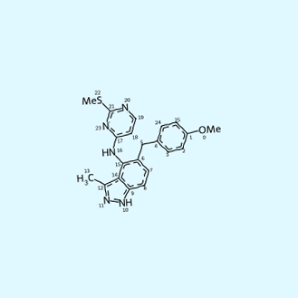 COc1ccc(Cc2ccc3[nH]nc(C)c3c2Nc2ccnc(SC)n2)cc1